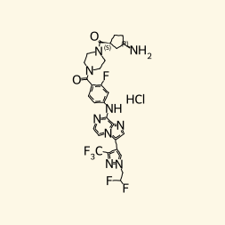 Cl.N[C@@H]1CC[C@H](C(=O)N2CCN(C(=O)c3ccc(Nc4nccn5c(-c6cn(CC(F)F)nc6C(F)(F)F)cnc45)cc3F)CC2)C1